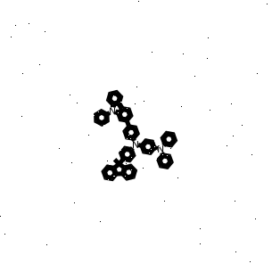 CC1(c2ccc(N(c3ccc(-c4ccc5c6ccccc6n(-c6ccccc6)c5c4)cc3)c3ccc(N(c4ccccc4)c4ccccc4)cc3)cc2)c2ccccc2-c2ccccc21